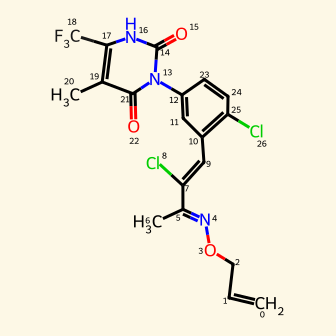 C=CCON=C(C)C(Cl)=Cc1cc(-n2c(=O)[nH]c(C(F)(F)F)c(C)c2=O)ccc1Cl